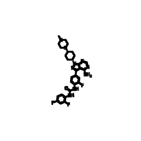 CN1CCN([C@H]2CC[C@@H](n3nc(-c4ccc(NC(=O)Nc5ccc(F)cc5F)c(F)c4)c4c(N)ncnc43)CC2)CC1